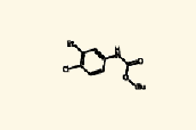 CCc1cc(NC(=O)OC(C)(C)C)ccc1Cl